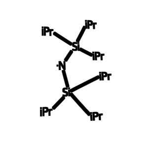 CC(C)[Si]([N][Si](C(C)C)(C(C)C)C(C)C)(C(C)C)C(C)C